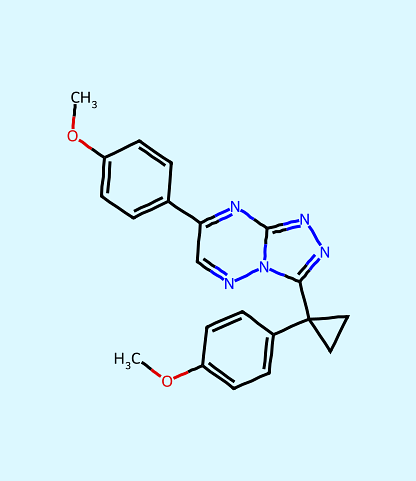 COc1ccc(-c2cnn3c(C4(c5ccc(OC)cc5)CC4)nnc3n2)cc1